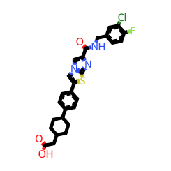 O=C(O)CC1CCC(c2ccc(-c3cn4cc(C(=O)NCc5ccc(F)c(Cl)c5)nc4s3)cc2)CC1